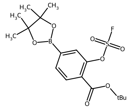 CC(C)(C)OC(=O)c1ccc(B2OC(C)(C)C(C)(C)O2)cc1OS(=O)(=O)F